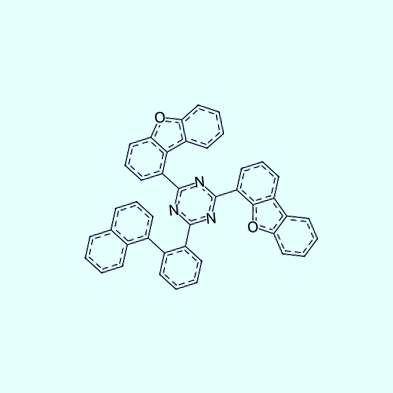 c1ccc(-c2cccc3ccccc23)c(-c2nc(-c3cccc4c3oc3ccccc34)nc(-c3cccc4oc5ccccc5c34)n2)c1